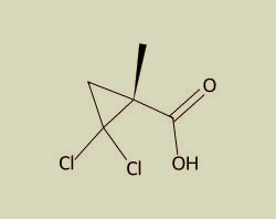 C[C@]1(C(=O)O)CC1(Cl)Cl